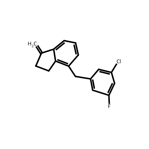 C=C1CCc2c(Cc3cc(F)cc(Cl)c3)cccc21